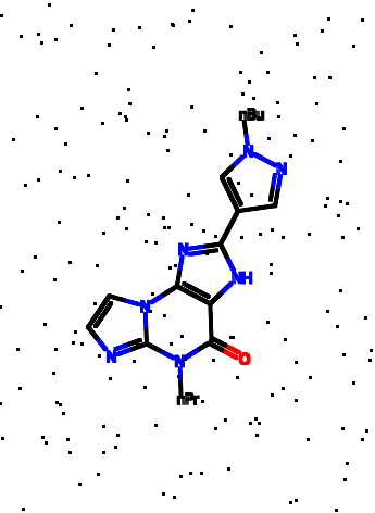 CCCCn1cc(-c2nc3c([nH]2)c(=O)n(CCC)c2nccn32)cn1